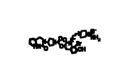 N[S+]([O-])N1CCN(C=C=C=NC(=O)[C@@H](Cc2ccc(O)c(Br)c2)OC(=O)N2CCC(N3CCc4ccccc4NC3=O)CC2)CC1